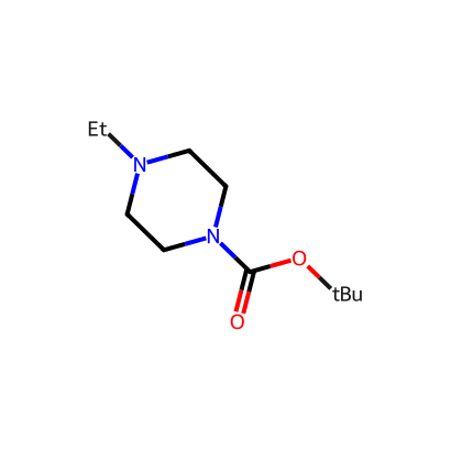 CCN1CCN(C(=O)OC(C)(C)C)CC1